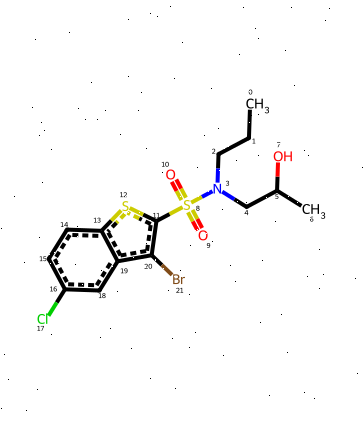 CCCN(CC(C)O)S(=O)(=O)c1sc2ccc(Cl)cc2c1Br